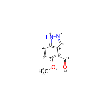 COc1ccc2[nH]ncc2c1C=O